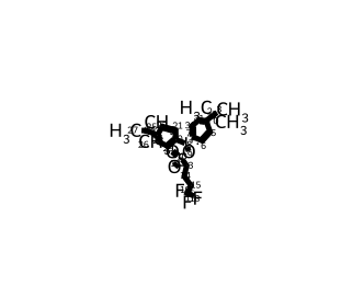 CC(C)(C)c1ccc([I+](OS(=O)(=O)CCCC(F)(F)F)c2ccc(C(C)(C)C)cc2)cc1